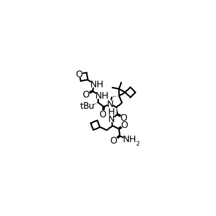 CC(C)(C)[C@H](NC(=O)NC1COC1)C(=O)N1C[C@]2(C[C@H]1C(=O)NC(CC1CCC1)C(=O)C(N)=O)C(C)(C)C21CCC1